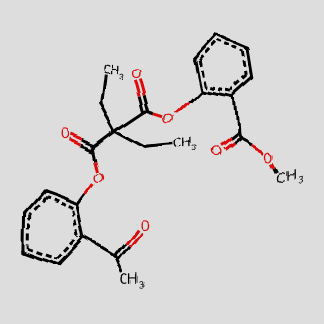 CCC(CC)(C(=O)Oc1ccccc1C(C)=O)C(=O)Oc1ccccc1C(=O)OC